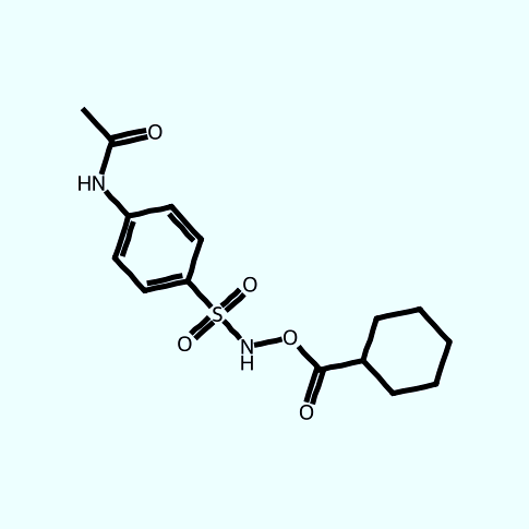 CC(=O)Nc1ccc(S(=O)(=O)NOC(=O)C2CCCCC2)cc1